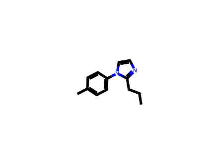 C[CH]Cc1nccn1-c1ccc(C)cc1